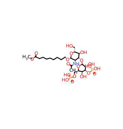 COC(=O)CCCCCCCCO[C@@H]1O[C@H](CO)[C@@H](O)[C@H](O[C@@H]2O[C@H](COP(=O)(O)O)[C@H](O)[C@H](OP(=O)(O)O)[C@H]2O)[C@H]1NC(C)=O